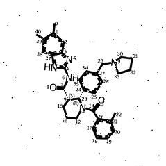 Cc1cc2nc(NC(=O)[C@H]3CCCN(C(=O)c4ccccc4C)[C@H]3c3ccc(CN4CCCC4)cc3)[nH]c2cc1C